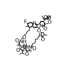 CC[C@@]1(O)C(=O)OCc2c1cc1n(c2=O)Cc2cc3c(CCCCOCNC(=O)[C@H](C)NC(=O)[C@@H](NC(=O)[C@H](C)NC(=O)CCCCCN4C(=O)CC(C)C4=O)C(C)C)c(C)c(F)cc3nc2-1